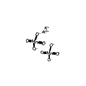 [Al+3].[K+].[O]=[Mn](=[O])([O-])[O-].[O]=[Mn](=[O])([O-])[O-]